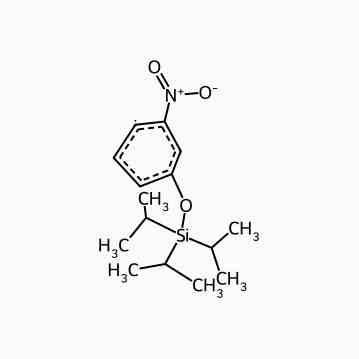 CC(C)[Si](Oc1cc[c]c([N+](=O)[O-])c1)(C(C)C)C(C)C